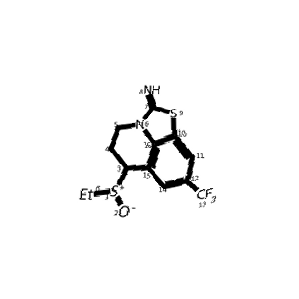 CC[S+]([O-])C1CCn2c(=N)sc3cc(C(F)(F)F)cc1c32